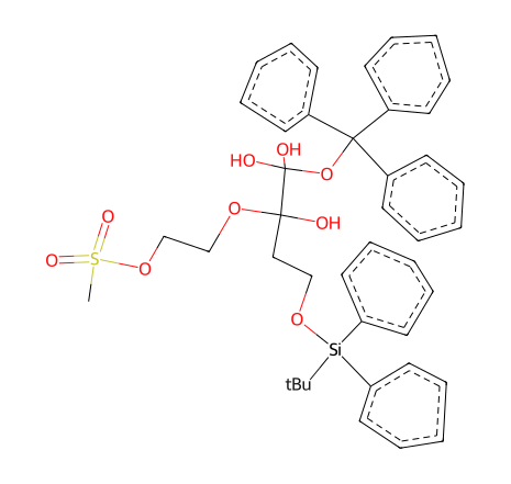 CC(C)(C)[Si](OCCC(O)(OCCOS(C)(=O)=O)C(O)(O)OC(c1ccccc1)(c1ccccc1)c1ccccc1)(c1ccccc1)c1ccccc1